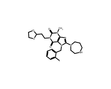 Cn1c(=O)n(CCC2OCCO2)c(=O)c2c1nc(N1CCCNCC1)n2Cc1ccccc1I